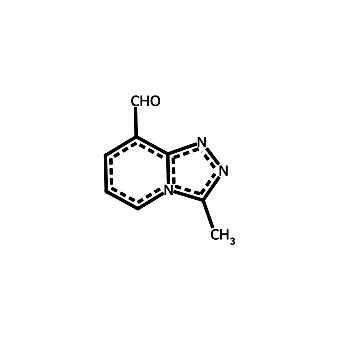 Cc1nnc2c(C=O)cccn12